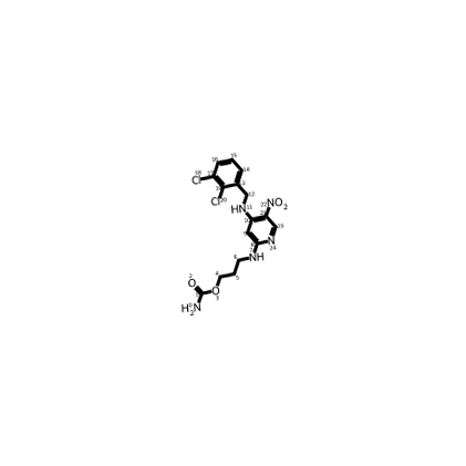 NC(=O)OCCCNc1cc(NCc2cccc(Cl)c2Cl)c([N+](=O)[O-])cn1